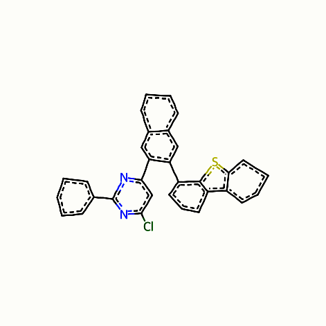 Clc1cc(-c2cc3ccccc3cc2-c2cccc3c2sc2ccccc23)nc(-c2ccccc2)n1